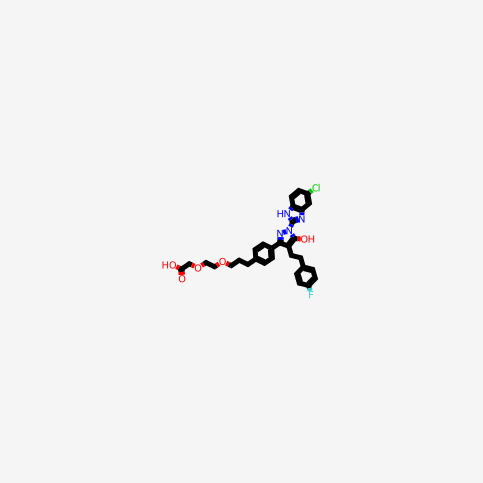 O=C(O)COCCOCCCc1ccc(-c2nn(-c3nc4cc(Cl)ccc4[nH]3)c(O)c2CCc2ccc(F)cc2)cc1